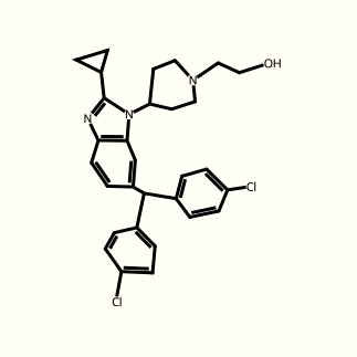 OCCN1CCC(n2c(C3CC3)nc3ccc(C(c4ccc(Cl)cc4)c4ccc(Cl)cc4)cc32)CC1